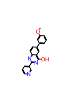 COc1cccc(-c2ccc3nc(-c4cccnc4)nc(O)c3c2)c1